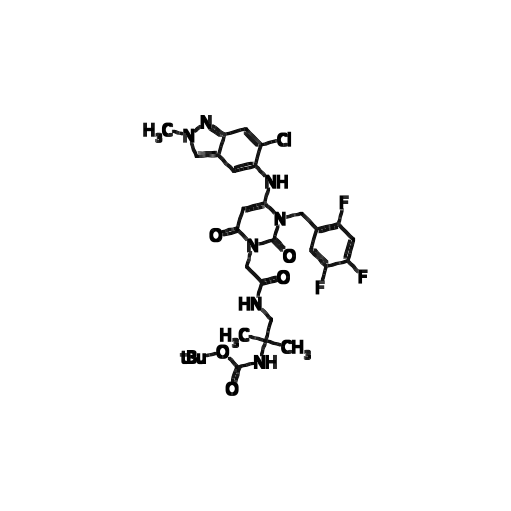 Cn1cc2cc(Nc3cc(=O)n(CC(=O)NCC(C)(C)NC(=O)OC(C)(C)C)c(=O)n3Cc3cc(F)c(F)cc3F)c(Cl)cc2n1